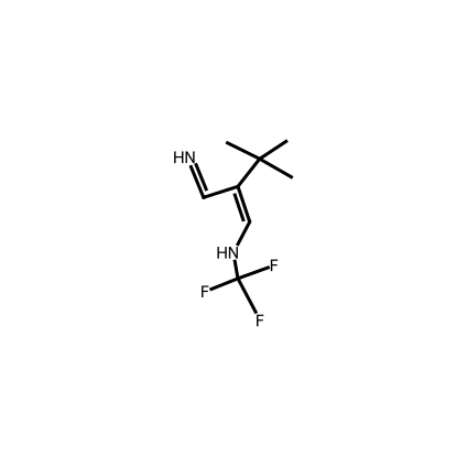 CC(C)(C)/C(C=N)=C/NC(F)(F)F